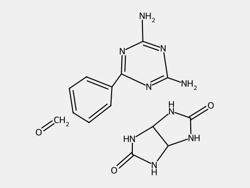 C=O.Nc1nc(N)nc(-c2ccccc2)n1.O=C1NC2NC(=O)NC2N1